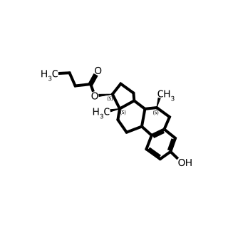 CCCC(=O)O[C@H]1CCC2C3C(CC[C@@]21C)c1ccc(O)cc1C[C@@H]3C